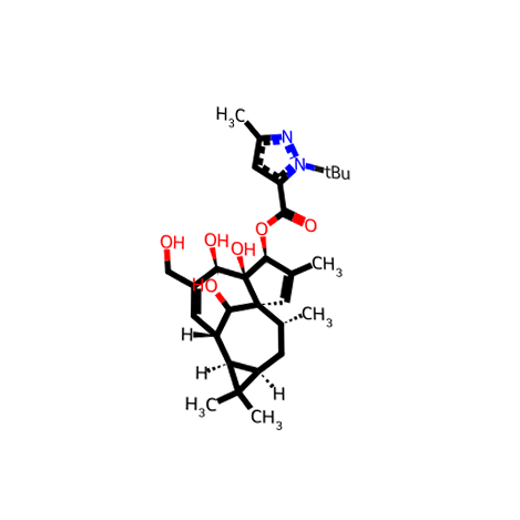 CC1=C[C@]23C(O)[C@@H](C=C(CO)[C@@H](O)[C@]2(O)[C@H]1OC(=O)c1cc(C)nn1C(C)(C)C)[C@H]1[C@@H](C[C@H]3C)C1(C)C